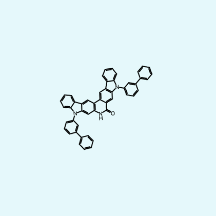 O=c1[nH]c2cc3c(cc2c2cc4c5ccccc5n(-c5cccc(-c6ccccc6)c5)c4cc12)c1ccccc1n3-c1cccc(-c2ccccc2)c1